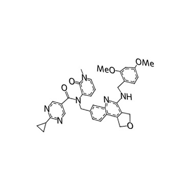 COc1ccc(CNc2nc3cc(CN(C(=O)c4cnc(C5CC5)nc4)c4cccn(C)c4=O)ccc3c3c2COC3)c(OC)c1